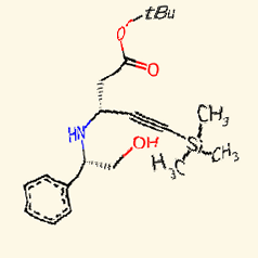 CC(C)(C)OC(=O)C[C@H](C#C[Si](C)(C)C)N[C@H](CO)c1ccccc1